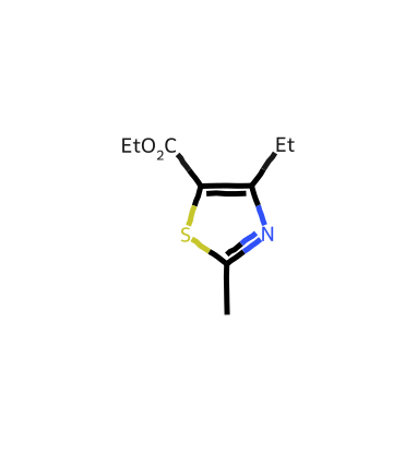 CCOC(=O)c1sc(C)nc1CC